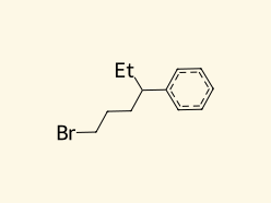 CCC(CCCBr)c1ccccc1